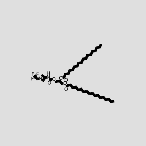 CCCCCCCCCCCCCCCCCC(=O)OCC(COC(=O)NC1CN(CC(F)(F)F)C1)OC(=O)CCCCCCCCCCCCCCCCC